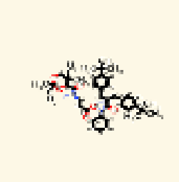 CC1(C)OCC(C)(C)C(C(=O)NCCC(=O)O[C@H]2CCCC[C@@H]2NC(=O)C(Cc2ccc(C(C)(C)C)cc2)Cc2ccc(C(C)(C)C)cc2)O1